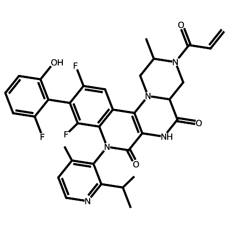 C=CC(=O)N1CC2C(=O)Nc3c(c4cc(F)c(-c5c(O)cccc5F)c(F)c4n(-c4c(C)ccnc4C(C)C)c3=O)N2CC1C